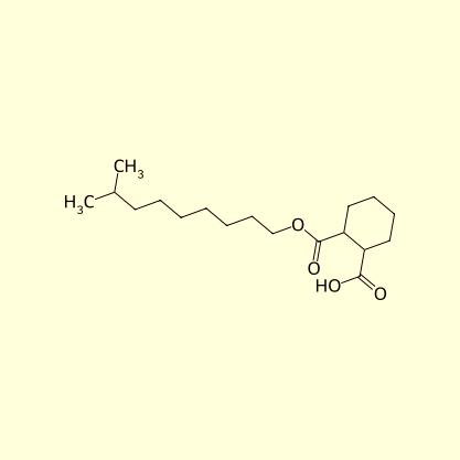 CC(C)CCCCCCCOC(=O)C1CCCCC1C(=O)O